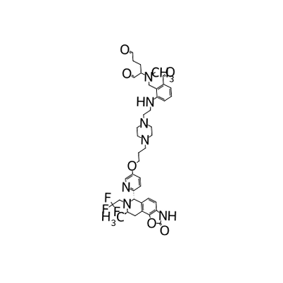 C[C@@H]1Cc2c(ccc3[nH]c(=O)oc23)[C@@H](c2ccc(OCCCN3CCN(CCNc4cccc(C=O)c4CN(C)C(C=O)CCC=O)CC3)cn2)N1CC(F)(F)F